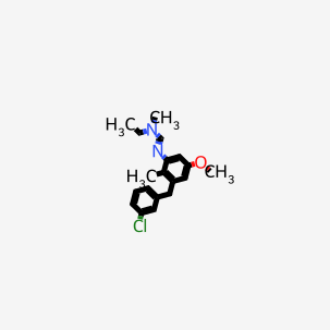 CCN(C)C=Nc1cc(OC)cc(Cc2cccc(Cl)c2)c1C